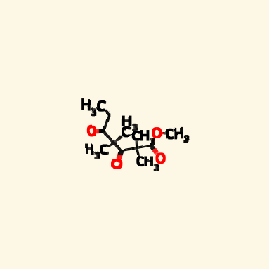 CCC(=O)C(C)(C)C(=O)C(C)(C)C(=O)OC